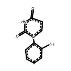 O=c1ccn(-c2ccccc2S)c(=O)[nH]1